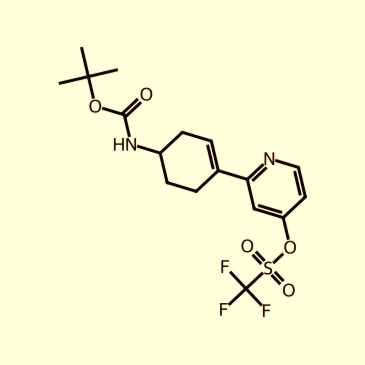 CC(C)(C)OC(=O)NC1CC=C(c2cc(OS(=O)(=O)C(F)(F)F)ccn2)CC1